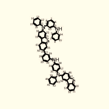 c1ccc(Nc2cccc(N(c3ccccc3)c3ccc4c(c3)sc3cc(-c5cccc(Nc6ccc(N(c7ccccc7)c7ccc8sc9ccccc9c8c7)cc6)c5)ccc34)c2)cc1